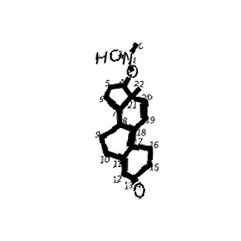 CN(O)OC1CCC2C3CCC4=CC(=O)CCC4=C3C=CC12C